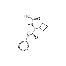 O=C(O)NC(C(=O)Nc1ccccc1)C1CCC1